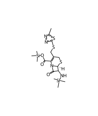 Cc1nnc(SCC2=C(C(=O)O[Si](C)(C)C)N3C(=O)C(N[Si](C)(C)C)[C@@H]3SC2)s1